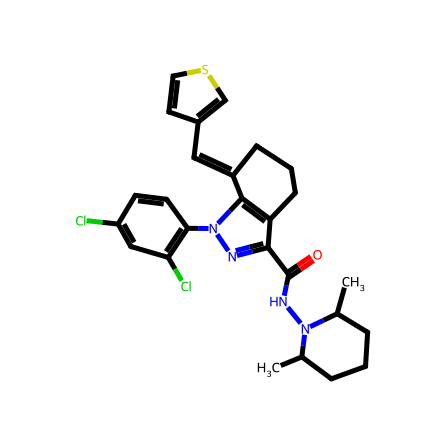 CC1CCCC(C)N1NC(=O)c1nn(-c2ccc(Cl)cc2Cl)c2c1CCC/C2=C\c1ccsc1